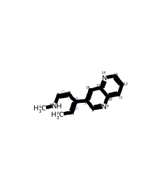 C/C=C(\C=C/NC)c1cnc2cccnc2c1